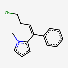 Cn1cccc1C(=CCCCl)c1ccccc1